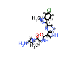 CC[C@@H](NC(=O)c1c[nH]c2ncc(-c3nn(C)c4cc(Cl)ccc34)nc12)C(=O)N1CC(N)C1